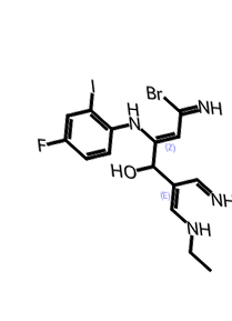 CCN/C=C(\C=N)C(O)/C(=C/C(=N)Br)Nc1ccc(F)cc1I